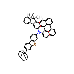 CC1(C)c2ccccc2-c2cc(N(c3ccc4c(c3)sc3cc(C56CC7CC(CC(C7)C5)C6)ccc34)c3ccccc3-c3cccc4cccc(-c5ccccc5)c34)ccc21